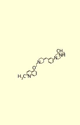 Cc1ccc2c(OCCN3CCC(=Cc4cccc(N5CCNC(C)C5)c4)CC3)cccc2n1